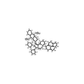 CC(C)(C)c1c2ccccc2c(C(C)(C)C)c2cc(-n3c(-c4ccccc4)c(-c4ccccc4)c4ccc5c(-c6ccc7ccc8cccc9ccc6c7c89)cccc5c43)ccc12